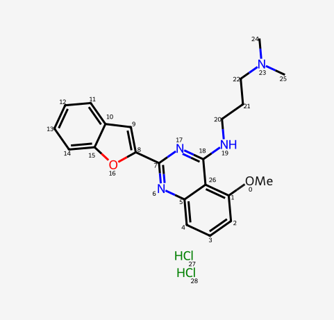 COc1cccc2nc(-c3cc4ccccc4o3)nc(NCCCN(C)C)c12.Cl.Cl